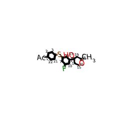 CC(=O)c1ccc(Sc2cc(F)cc([C@@]3(O)CCO[C@@H](C)C3)c2)cc1